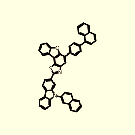 c1ccc2cc(-n3c4ccccc4c4ccc(-c5nc6cc(-c7ccc(-c8cccc9ccccc89)cc7)c7oc8ccccc8c7c6s5)cc43)ccc2c1